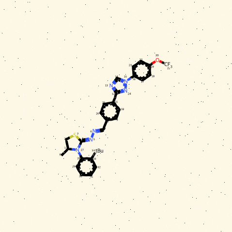 CC1CS/C(=N\N=C\c2ccc(-c3ncn(-c4ccc(OC(F)(F)F)cc4)n3)cc2)N1c1ccccc1C(C)(C)C